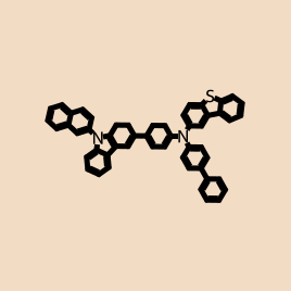 C1=C(C2=Cc3c(n(-c4ccc5ccccc5c4)c4ccccc34)CC2)CCC(N(c2ccc(-c3ccccc3)cc2)c2ccc3sc4ccccc4c3c2)=C1